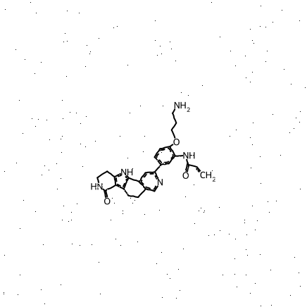 C=CC(=O)Nc1cc(-c2cc3c(cn2)CCc2c-3[nH]c3c2C(=O)NCC3)ccc1OCCCN